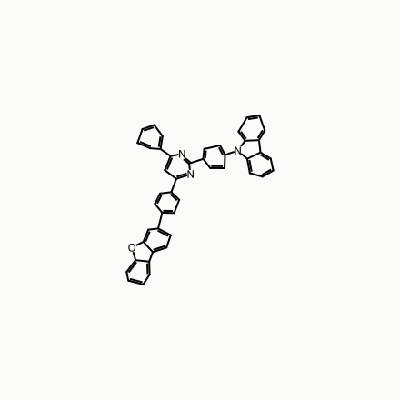 c1ccc(-c2cc(-c3ccc(-c4ccc5c(c4)oc4ccccc45)cc3)nc(-c3ccc(-n4c5ccccc5c5ccccc54)cc3)n2)cc1